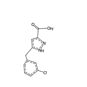 O=C(O)c1cc(Cc2cccc(Cl)c2)[nH]n1